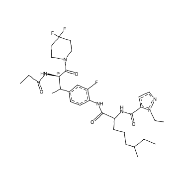 CCC(=O)N[C@@H](C(=O)N1CCC(F)(F)CC1)C(C)c1ccc(NC(=O)C(CCCC(C)CC)NC(=O)c2ccnn2CC)c(F)c1